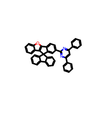 c1ccc(-c2cc(-c3ccccc3)nc(-c3ccc4c(c3)C3(c5ccccc5-c5ccccc53)c3c-4oc4ccccc34)n2)cc1